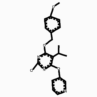 COc1ccc(COc2nc(Cl)nc(Oc3cccnc3)c2C(C)C)cc1